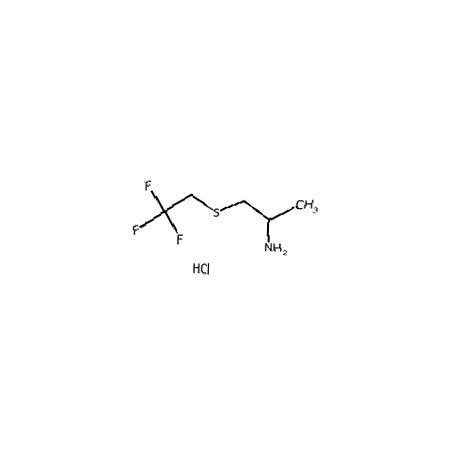 CC(N)CSCC(F)(F)F.Cl